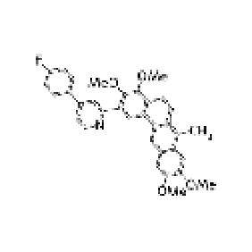 COc1cc2cc3c4cc(-c5cc(-c6ccc(F)cc6)ccn5)c(OC)c(OC)c4cc[n+]3c(C)c2cc1OC